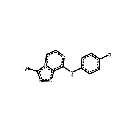 Nc1nnc2c(Nc3ccc(Cl)cc3)nccn12